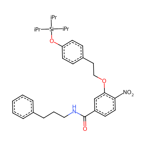 CC(C)[Si](Oc1ccc(CCOc2cc(C(=O)NCCCc3ccccc3)ccc2[N+](=O)[O-])cc1)(C(C)C)C(C)C